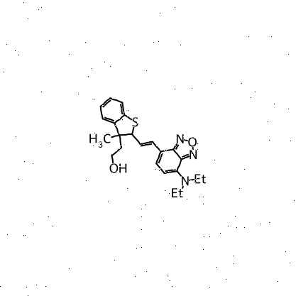 CCN(CC)c1ccc(/C=C/C2Sc3ccccc3C2(C)CCO)c2nonc12